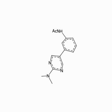 CC(=O)Nc1cccc(-c2cnc(N(C)C)nc2)c1